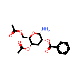 CC(=O)OC[C@H]1O[C@H](N)[C@H](OC(=O)c2ccccc2)C[C@@H]1OC(C)=O